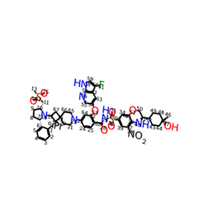 CC(C)c1ccccc1[C@@H]1CC[C@H](CS(C)(=O)=O)N1C1CC2(CCN(c3ccc(C(=O)NS(=O)(=O)c4cc5c(c([N+](=O)[O-])c4)NC(C4CCC(C)(O)CC4)CO5)c(Oc4cnc5[nH]cc(F)c5c4)c3)CC2)C1